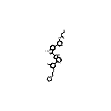 CCCC(=O)Nc1cncc(-c2ccc3[nH]nc(-c4cc5c(-c6cc(F)cc(OCCN7CCCC7)c6)nccc5[nH]4)c3c2)c1